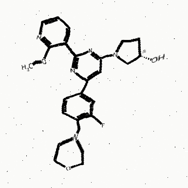 COc1ncccc1-c1nc(-c2ccc(N3CCOCC3)c(F)c2)cc(N2CC[C@H](O)C2)n1